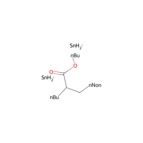 CCCCCCCCCCC(CCCC)C(=O)OCCCC.[SnH2].[SnH2]